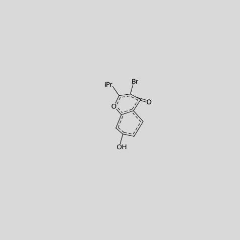 CC(C)c1oc2cc(O)ccc2c(=O)c1Br